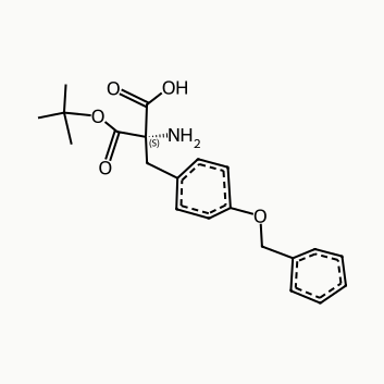 CC(C)(C)OC(=O)[C@](N)(Cc1ccc(OCc2ccccc2)cc1)C(=O)O